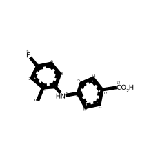 Cc1cc(F)ccc1Nc1ccc(C(=O)O)cc1